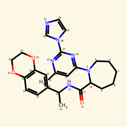 Cc1cc(N2CCCCCC2C(=O)NC(C)c2ccc3c(c2)OCCO3)nc(-n2ccnc2)n1